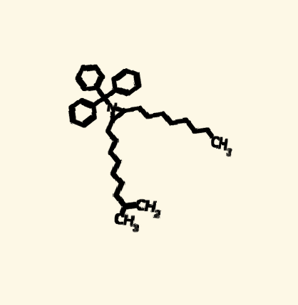 C=C(C)CCCCCCCC1C(CCCCCCCC)N1C(c1ccccc1)(c1ccccc1)c1ccccc1